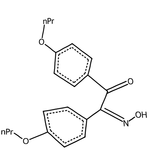 CCCOc1ccc(C(=O)/C(=N\O)c2ccc(OCCC)cc2)cc1